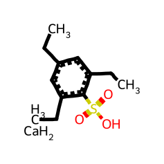 CCc1cc(CC)c(S(=O)(=O)O)c(CC)c1.[CaH2]